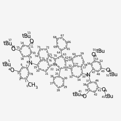 Cc1cc(OC(C)(C)C)cc(N(c2cc(OC(C)(C)C)cc(OC(C)(C)C)c2)c2ccc3c4c(-c5ccccc5)c5c6ccc(N(c7cc(OC(C)(C)C)cc(OC(C)(C)C)c7)c7cc(OC(C)(C)C)cc(OC(C)(C)C)c7)c7cccc(c5c(-c5ccccc5)c4c4cccc2c43)c76)c1